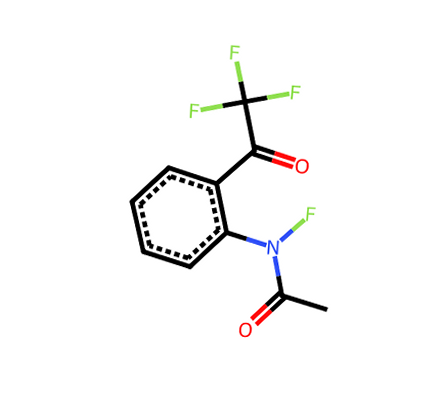 CC(=O)N(F)c1ccccc1C(=O)C(F)(F)F